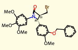 COc1ccc([C@H]2[C@H](CBr)C(=O)N2c2cc(OC)c(OC)c(OC)c2)cc1OCc1ccccc1